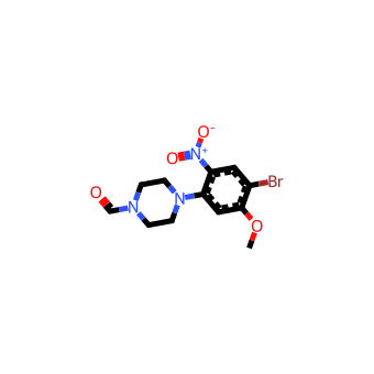 COc1cc(N2CCN(C=O)CC2)c([N+](=O)[O-])cc1Br